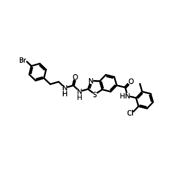 Cc1cccc(Cl)c1NC(=O)c1ccc2nc(NC(=O)NCCc3ccc(Br)cc3)sc2c1